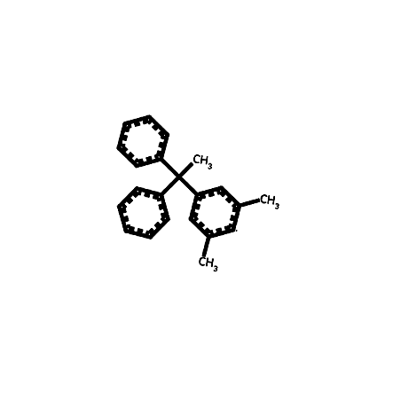 Cc1[c]c(C)cc(C(C)(c2ccccc2)c2ccccc2)c1